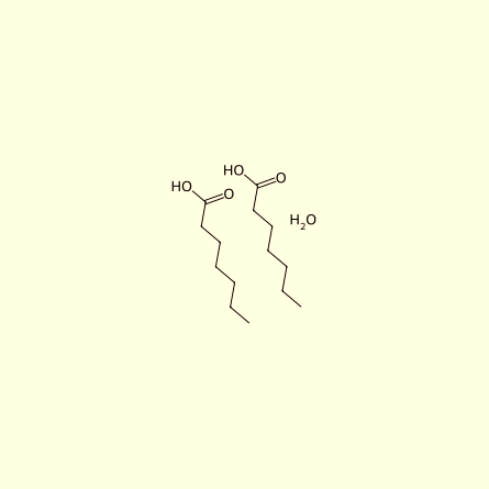 CCCCCCC(=O)O.CCCCCCC(=O)O.O